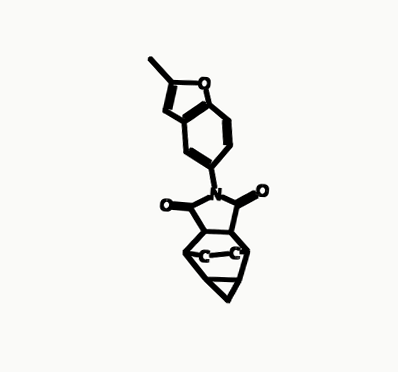 Cc1cc2cc(N3C(=O)C4C5CCC(C6CC65)C4C3=O)ccc2o1